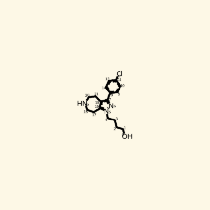 OCCCCn1nc(-c2ccc(Cl)cc2)c2c1CCNCC2